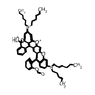 CCCCCCN(CCCCC)c1ccc2c(-c3ccccc3OC=O)c3cc4c(-c5ccccc5C(=O)O)c5ccc(=[N+](CCCCCC)CCCCCC)cc5[o+]c4cc3oc2c1